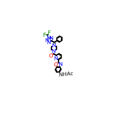 CC(=O)Nc1ccc2oc(-c3cccc(C(=O)N4CCN([C@@H](c5ccccc5)c5nnn(C(F)F)n5)CC4)n3)nc2c1